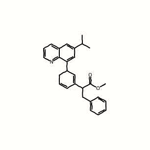 COC(=O)C(Cc1ccccc1)C1=CC(c2cc(C(C)C)cc3cccnc23)CC=C1